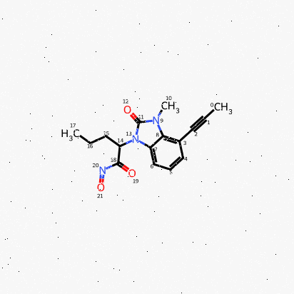 CC#Cc1cccc2c1n(C)c(=O)n2C(CCC)C(=O)N=O